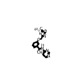 Cc1nc(COc2cccc(C(C)Nc3ccncn3)c2)no1